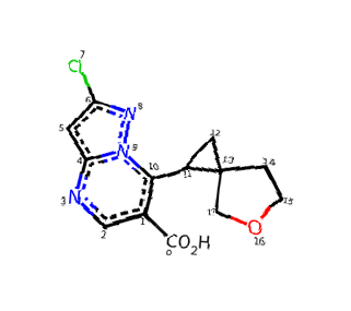 O=C(O)c1cnc2cc(Cl)nn2c1C1CC12CCOC2